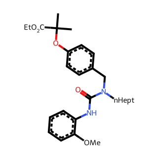 CCCCCCCN(Cc1ccc(OC(C)(C)C(=O)OCC)cc1)C(=O)Nc1ccccc1OC